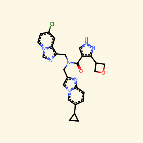 O=C(c1c[nH]nc1C1COC1)N(Cc1cn2cc(C3CC3)ccc2n1)Cc1ncn2ccc(Cl)cc12